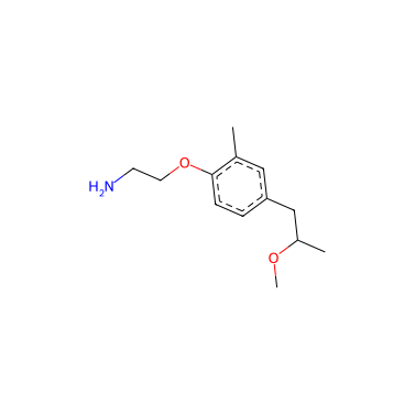 COC(C)Cc1ccc(OCCN)c(C)c1